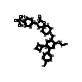 CCOc1cc(-c2ccc(F)cc2)c(C2CCC2)cc1CN1CCC2(CC1)CN(c1ccc(P(=O)(O)O)cc1)C(=O)O2